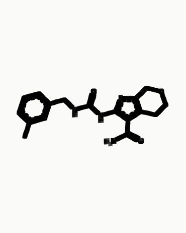 Cc1cccc(CNC(=O)Nc2sc3c(c2C(N)=O)CCOC3)c1